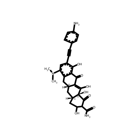 CN(C)c1cc(C#Cc2ccc(N)cc2)c(O)c2c1C[C@H]1C[C@H]3CC(O)C(C(N)=O)C(=O)[C@@]3(O)C(O)=C1C2=O